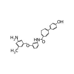 Cc1cc(N)cc(COc2cccc(NC(=O)C3=CCC=C(c4ccc(O)cc4)C=C3)c2)c1